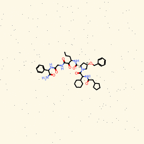 CCCC(NC(=O)[C@@H]1C[C@@H](OCc2ccccc2)CN1C(=O)C(NC(=O)CC1CCCC1)C1CCCCC1)C(=O)C(=O)NCC(=O)NC(C(N)=O)c1ccccc1